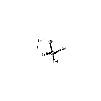 [Li+].[O-][Si](O)(O)O.[Te-2]